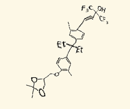 CCC(CC)(c1ccc(C=CC(O)(C(F)(F)F)C(F)(F)F)c(C)c1)c1ccc(OCC2COC(C)(C)O2)c(C)c1